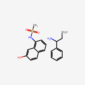 CS(=O)(=O)Nc1cccc2ccc(O)cc12.NC(CS(=O)(=O)O)c1ccccc1